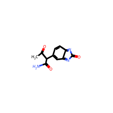 CC(=O)C(C(N)=O)c1ccc2c(c1)=NC(=O)N=2